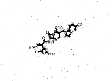 CCO/N=C(/C(=O)N[C@@H]1C(=O)N2C(C(=O)[O-])=C(Cn3cc[n+]4cc(C#N)ccc34)CS[C@H]12)c1nc(N)sc1Cl